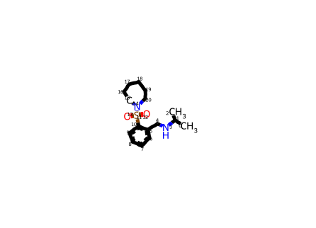 CC(C)NCc1ccccc1S(=O)(=O)N1CCCCCC1